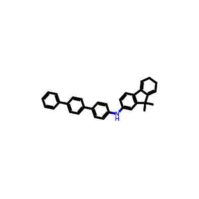 CC1(C)C2=CCCC=C2c2ccc(Nc3ccc(-c4ccc(-c5ccccc5)cc4)cc3)cc21